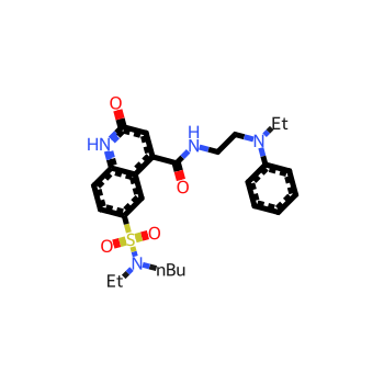 CCCCN(CC)S(=O)(=O)c1ccc2[nH]c(=O)cc(C(=O)NCCN(CC)c3ccccc3)c2c1